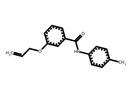 C=CCOc1cccc(C(=O)Nc2ccc(C)cc2)c1